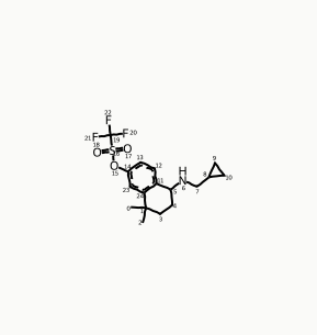 CC1(C)CCC(NCC2CC2)c2ccc(OS(=O)(=O)C(F)(F)F)cc21